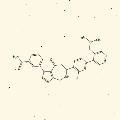 CCCN(C)Cc1ccccc1-c1ccc(C2CC(=O)c3c(ncn3-c3cccc(C(N)=O)c3)CN2)c(F)c1